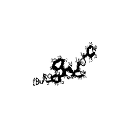 CC(C)(C)N(Cc1ccc(-c2nc3ccnc(COCc4ccncc4)c3cc2-c2ccccc2)cc1)C(=O)O